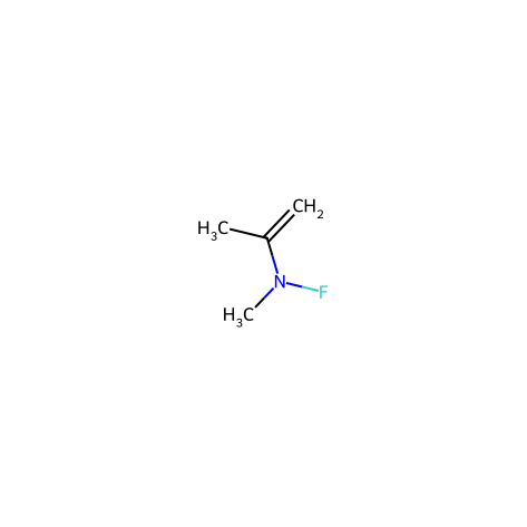 C=C(C)N(C)F